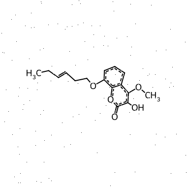 CC/C=C/CCOc1cccc2c(OC)c(O)c(=O)oc12